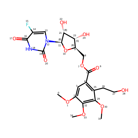 COc1cc(C(=O)OC[C@H]2O[C@@H](n3cc(F)c(=O)[nH]c3=O)[C@H](O)[C@@H]2O)c(CCO)c(OC)c1OC